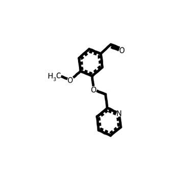 COc1ccc(C=O)cc1OCc1ccccn1